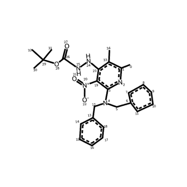 Cc1nc(N(Cc2ccccc2)Cc2ccccc2)c([N+](=O)[O-])c(NNC(=O)OC(C)(C)C)c1C